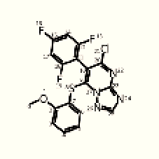 COc1ccccc1Sc1c(-c2c(F)cc(F)cc2F)c(Cl)nc2ncnn12